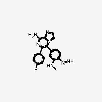 CNc1cc(-c2c(-c3ccc(F)cc3)nc(N)c3nccn23)ccc1N=N